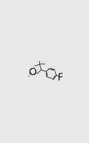 COCC(c1ccc(F)cc1)C(C)(C)C